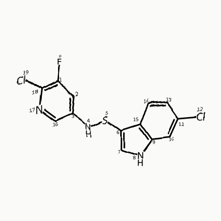 Fc1cc(NSc2c[nH]c3cc(Cl)ccc23)cnc1Cl